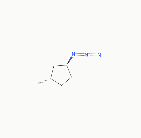 C[C@H]1CC[C@H](N=[N+]=[N-])C1